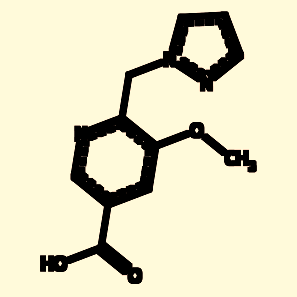 COc1cc(C(=O)O)cnc1Cn1cccn1